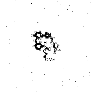 COCCOC(=O)Nc1cccc(Cc2nn(-c3cnn(COCC[Si](C)(C)C)c3)ccc2=O)c1